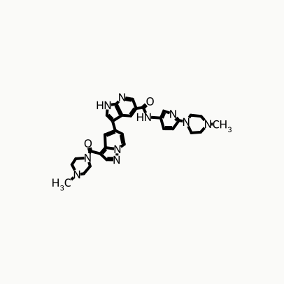 CN1CCN(C(=O)c2cnn3ccc(-c4c[nH]c5ncc(C(=O)Nc6ccc(N7CCN(C)CC7)nc6)cc45)cc23)CC1